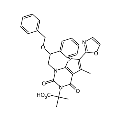 Cc1c(-c2ncco2)sc2c1c(=O)n(C(C)(C)C(=O)O)c(=O)n2CC(OCc1ccccc1)c1ccccc1